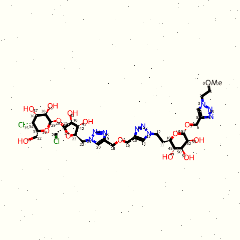 COCCn1cc(CO[C@H]2O[C@H](CCn3cc(COCc4cn(C[C@H]5O[C@@](CCl)(O[C@H]6O[C@H](CO)[C@H](Cl)[C@H](O)[C@H]6O)[C@@H](O)[C@@H]5O)nn4)nn3)[C@@H](O)[C@H](O)[C@@H]2O)nn1